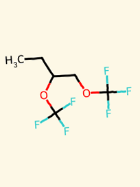 CCC(COC(F)(F)F)OC(F)(F)F